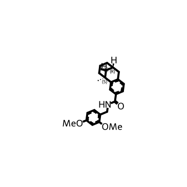 COc1ccc(CNC(=O)c2ccc3c(c2)[C@@]2(C)CCC[C@H](C3)[C@@H]2C)c(OC)c1